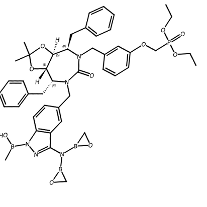 CCOP(=O)(COc1cccc(CN2C(=O)N(Cc3ccc4c(c3)c(N(B3CO3)B3CO3)nn4B(C)O)[C@H](Cc3ccccc3)[C@@H]3OC(C)(C)O[C@H]3[C@H]2Cc2ccccc2)c1)OCC